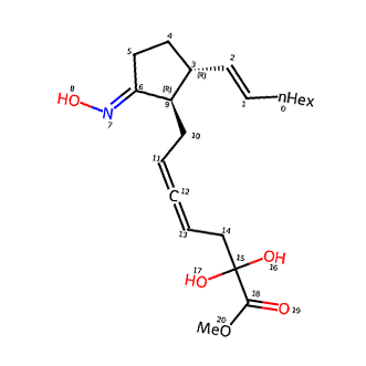 CCCCCCC=C[C@H]1CCC(=NO)[C@@H]1CC=C=CCC(O)(O)C(=O)OC